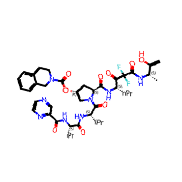 C=C(O)[C@H](C)NC(=O)C(F)(F)C(=O)[C@H](CCC)NC(=O)[C@@H]1C[C@@H](OC(=O)N2CCc3ccccc3C2)CN1C(=O)[C@@H](NC(=O)[C@@H](NC(=O)c1cnccn1)C(C)C)C(C)C